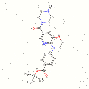 CN1CCN(C(=O)c2cnc3c(c2)OCCN3c2ccc(C(=O)OC(C)(C)C)cc2)CC1